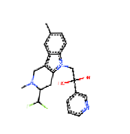 Cc1ccc2c(c1)c1c(n2CC(O)(O)c2cccnc2)CC(C(F)F)N(C)C1